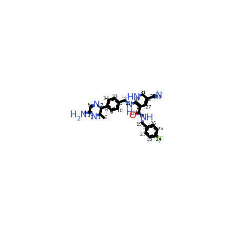 CC1N=C(N)C=NC1c1ccc(CNC2=C(C(=O)NCc3ccc(F)cc3)C=C(C#N)CN2)cc1